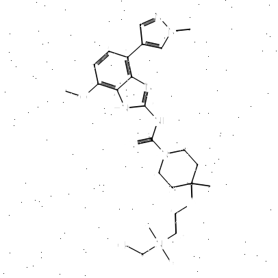 COc1ccc(-c2cnn(C)c2)c2nc(NC(=O)N3CCC(C)(OCC[N+](C)(C)CCl)CC3)[nH]c12